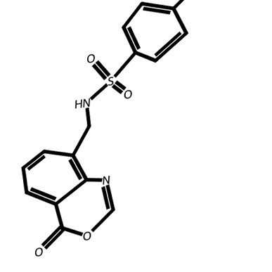 NCc1ccc(S(=O)(=O)NCc2cccc3c(=O)ocnc23)cc1